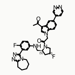 CC(=O)c1cn(CC(=O)N2C[C@H](F)C[C@H]2CNc2ccc(F)c(-c3nnc4n3CCCCC4)c2)c2ccc(-c3ccnnc3)cc12